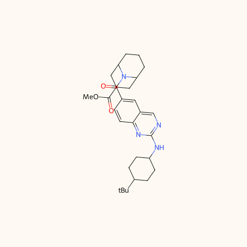 COC(=O)C1CC2CCCC(C1)N2C(=O)c1ccc2nc(NC3CCC(C(C)(C)C)CC3)ncc2c1